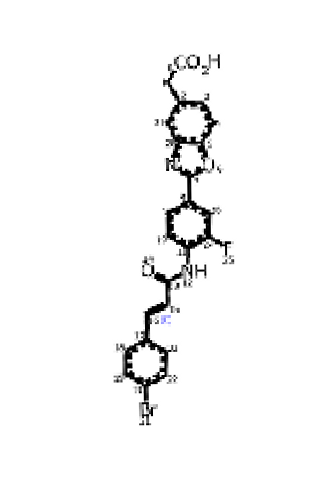 O=C(O)Cc1ccc2oc(-c3ccc(NC(=O)/C=C/c4ccc(Br)cc4)c(F)c3)nc2c1